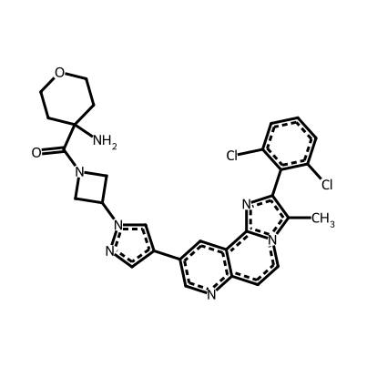 Cc1c(-c2c(Cl)cccc2Cl)nc2c3cc(-c4cnn(C5CN(C(=O)C6(N)CCOCC6)C5)c4)cnc3ccn12